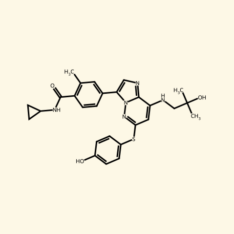 Cc1cc(-c2cnc3c(NCC(C)(C)O)cc(Sc4ccc(O)cc4)nn23)ccc1C(=O)NC1CC1